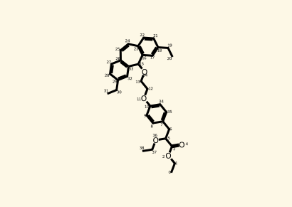 CCOC(=O)C(Cc1ccc(OCCOC2c3cc(CC)ccc3C=Cc3ccc(CC)cc32)cc1)OCC